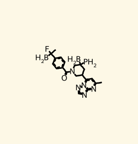 BC1(P)CC(c2cc(C)nc3ncnn23)CN(C(=O)c2ccc(C(B)(C)F)cc2)C1